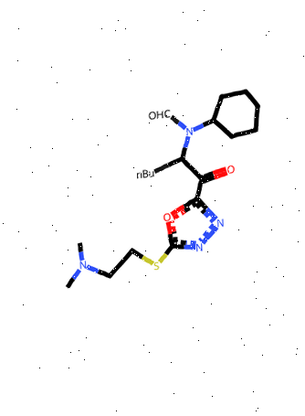 CCCCC(C(=O)c1nnc(SCCN(C)C)o1)N(C=O)C1CCCCC1